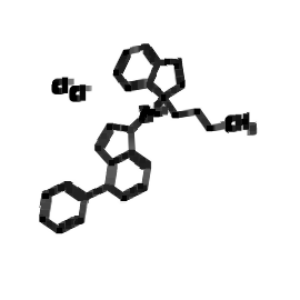 CCCC[C]1([Zr+2][CH]2C=Cc3c(-c4ccccc4)cccc32)C=Cc2ccccc21.[Cl-].[Cl-]